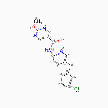 COc1ncc(C(=O)Nc2ccc(Cc3cccc(Cl)c3)cn2)cn1